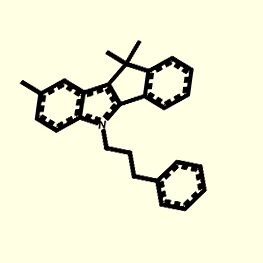 Cc1ccc2c(c1)c1c(n2CCCc2ccccc2)-c2ccccc2C1(C)C